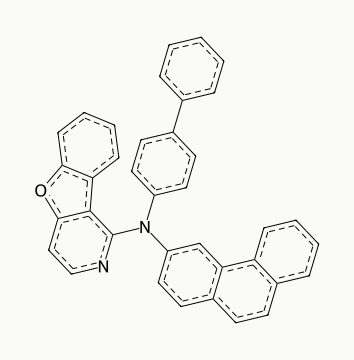 c1ccc(-c2ccc(N(c3ccc4ccc5ccccc5c4c3)c3nccc4oc5ccccc5c34)cc2)cc1